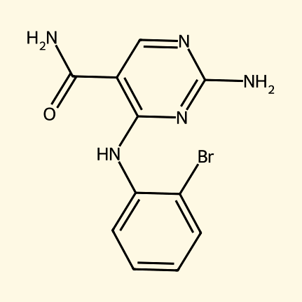 NC(=O)c1cnc(N)nc1Nc1ccccc1Br